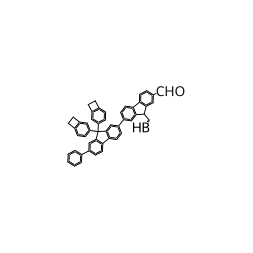 B=CC1c2cc(C=O)ccc2-c2ccc(-c3ccc4c(c3)C(c3ccc5c(c3)CC5)(c3ccc5c(c3)CC5)c3cc(-c5ccccc5)ccc3-4)cc21